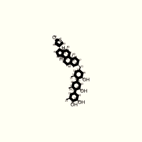 C[C@@H]1CC2C(CC[C@]3(C)C[C@@H](C[C@@H]4C[C@H](C)C(C5C[C@H](C)C(C6C[C@H](C)[C@@H](O)[C@@H](O)C6)[C@@H](O)C5)[C@@H](O)C4)CC[C@]23C)[C@H]2CC[C@H](C3=CC(=O)SC3)[C@@H]12